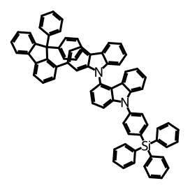 c1ccc(C2(c3ccccc3)c3ccccc3-c3cccc(-c4ccc5c6ccccc6n(-c6cccc7c6c6ccccc6n7-c6ccc([Si](c7ccccc7)(c7ccccc7)c7ccccc7)cc6)c5c4)c32)cc1